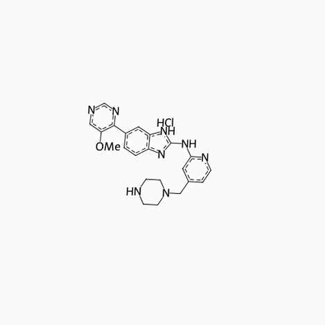 COc1cncnc1-c1ccc2nc(Nc3cc(CN4CCNCC4)ccn3)[nH]c2c1.Cl